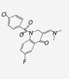 CN(C)C=C1CN(S(=O)(=O)c2ccc(Cl)cc2)c2ccc(F)cc2C1=O